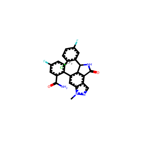 Cn1ncc2c3c(c(-c4c(C(N)=O)cc(F)cc4C(F)(F)F)cc21)C(c1cc(F)ccc1Cl)NC3=O